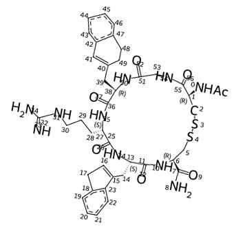 CC(=O)N[C@H]1CSSC[C@@H](C(N)=O)NC(=O)[C@H](CC2=CCc3ccccc32)NC(=O)[C@H](CCCNC(=N)N)NC(=O)[C@@H](CC2=Cc3ccccc3CC2)NC(=O)CNC1=O